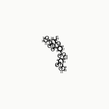 O=C(Oc1cc(=O)n(C2CCCO2)cc1Cl)c1cccc(C(=O)n2c(=O)c(F)cn(C3CCCO3)c2=O)c1